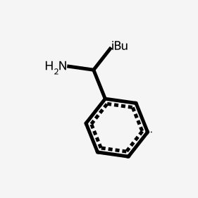 CCC(C)C(N)c1c[c]ccc1